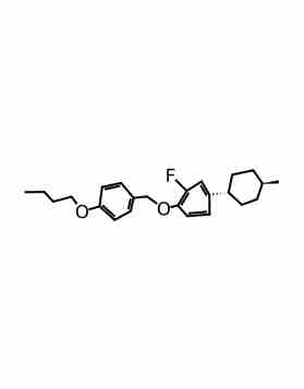 CCCCOc1ccc(COc2ccc([C@H]3CC[C@H](C)CC3)cc2F)cc1